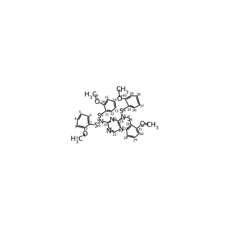 COc1ccccc1SN(Sc1ccccc1OC)c1ncnc(N(Sc2ccccc2OC)Sc2ccccc2OC)n1